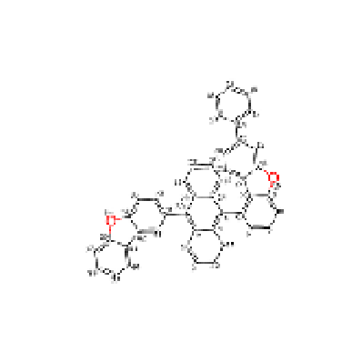 C1=Cc2c(c(-c3cccc4oc5cc(-c6ccccc6)ccc5c34)c3ccccc3c2-c2ccc3oc4ccccc4c3c2)CC1